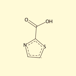 O=C(O)c1nc[c]s1